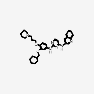 c1ccc2ncc(Nc3ccnc(Nc4ccc(OCCCN5CCCCC5)c(OCC5CCCCC5)c4)n3)cc2c1